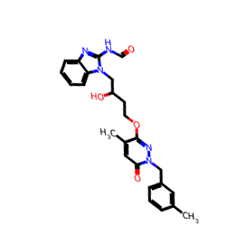 Cc1cccc(Cn2nc(OCCC(O)Cn3c(NC=O)nc4ccccc43)c(C)cc2=O)c1